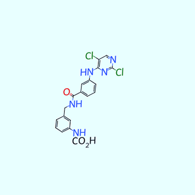 O=C(O)Nc1cccc(CNC(=O)c2cccc(Nc3nc(Cl)ncc3Cl)c2)c1